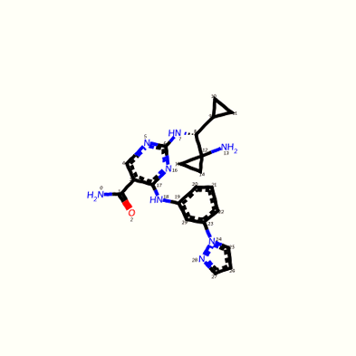 NC(=O)c1cnc(N[C@H](C2CC2)C2(N)CC2)nc1Nc1cccc(-n2cccn2)c1